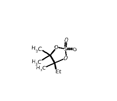 CCC1(C)OS(=O)(=O)OC1(C)C